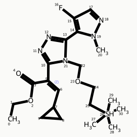 CCOC(=O)/C(=C\C1CC1)c1nnc(-c2c(F)cnn2C)n1COCC[SH](C)(C)(C)C